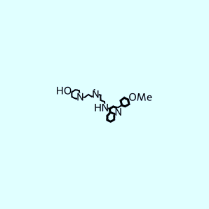 COc1ccc(-c2cc(NCCCN(C)CCCN3CCC(O)CC3)c3ccccc3n2)cc1